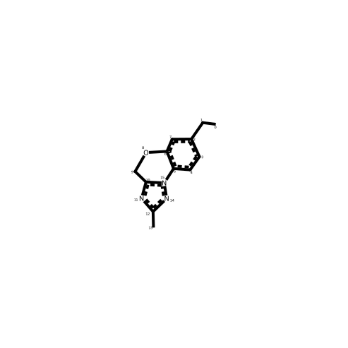 CCc1ccc2c(c1)OCc1nc(C)nn1-2